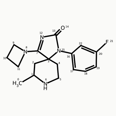 CC1CC2(CCN1)C(N1CCC1)=NC(=O)N2c1cccc(F)c1